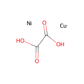 O=C(O)C(=O)O.[Cu].[Ni]